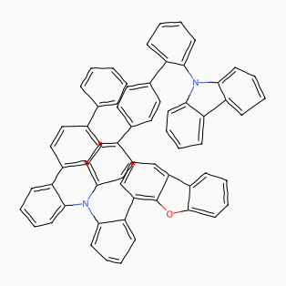 c1ccc(-c2ccc(-c3ccccc3N(c3ccc(-c4ccc(-c5ccccc5-n5c6ccccc6c6ccccc65)cc4)cc3)c3ccccc3-c3cccc4c3oc3ccccc34)cc2)cc1